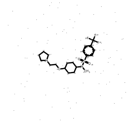 CN(C1CCC(OCCN2CCCC2)CC1)S(=O)(=O)c1ccc(C(F)(F)F)cc1